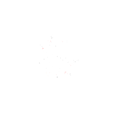 COc1ccc(-c2cccc(P)c2-c2ccc(OC)c(OC)c2OC)c(OC)c1OC